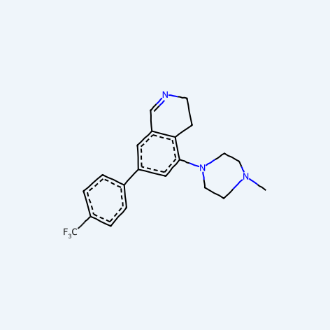 CN1CCN(c2cc(-c3ccc(C(F)(F)F)cc3)cc3c2CCN=C3)CC1